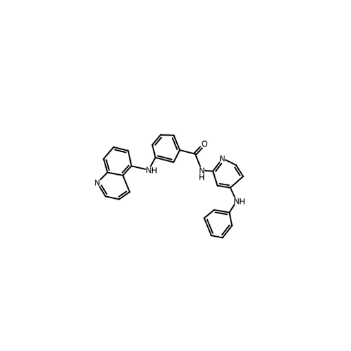 O=C(Nc1cc(Nc2ccccc2)ccn1)c1cccc(Nc2cccc3ncccc23)c1